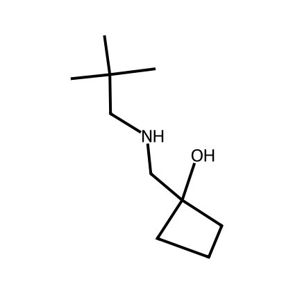 CC(C)(C)CNCC1(O)CCC1